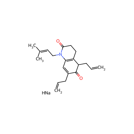 C=CCC1=CC2=C(CCC(=O)N2CC=C(C)C)C(CC=C)C1=O.[NaH]